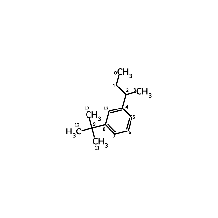 CCC(C)c1[c]ccc(C(C)(C)C)c1